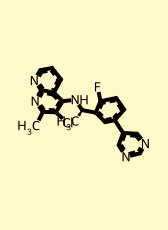 Cc1nc2ncccc2c(N[C@H](C)c2cc(-c3cncnc3)ccc2F)c1Cl